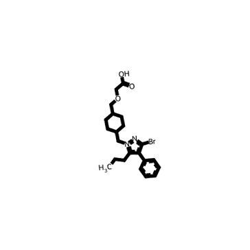 CCCc1c(-c2ccccc2)c(Br)nn1CC1CCC(COCC(=O)O)CC1